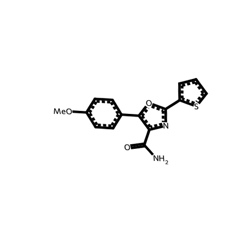 COc1ccc(-c2oc(-c3cccs3)nc2C(N)=O)cc1